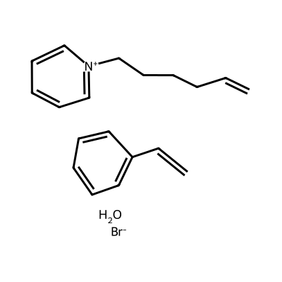 C=CCCCC[n+]1ccccc1.C=Cc1ccccc1.O.[Br-]